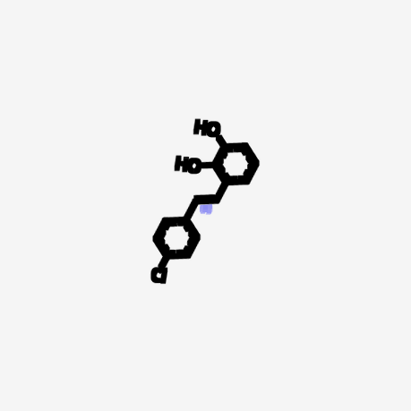 Oc1cccc(/C=C/c2ccc(Cl)cc2)c1O